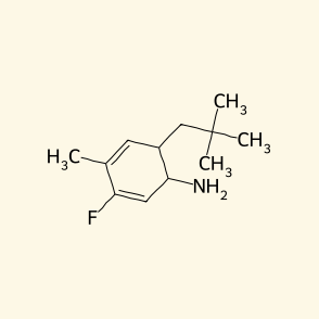 CC1=CC(CC(C)(C)C)C(N)C=C1F